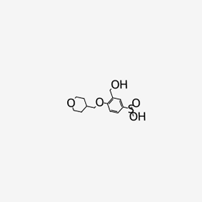 O=S(O)c1ccc(OCC2CCOCC2)c(CO)c1